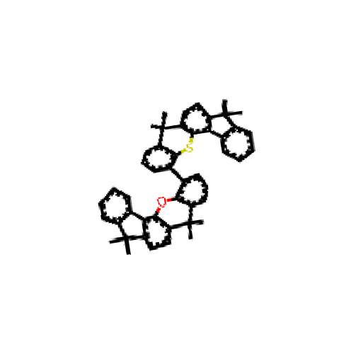 CC1(C)c2cccc(-c3cccc4c3Sc3c(ccc5c3-c3ccccc3C5(C)C)C4(C)C)c2Oc2c1ccc1c2-c2ccccc2C1(C)C